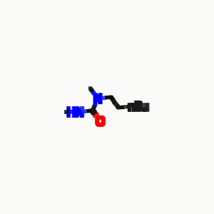 CCCCCCN(C)C([NH])=O